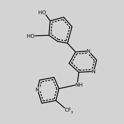 Oc1ccc(-c2cc(Nc3ccncc3C(F)(F)F)ncn2)cc1O